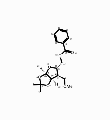 COC[C@H]1[C@H]2OC(C)(C)O[C@H]2O[C@@H]1COC(=O)c1ccccc1